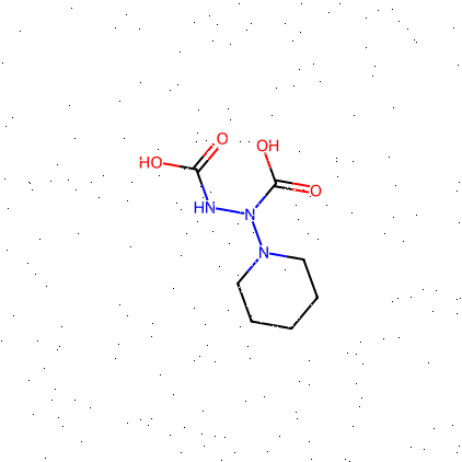 O=C(O)NN(C(=O)O)N1CCCCC1